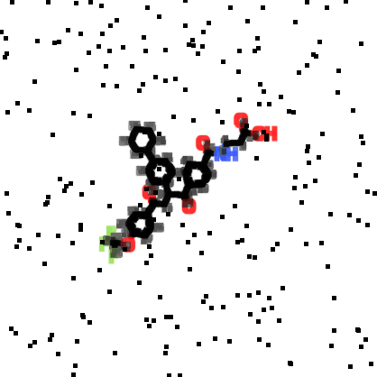 O=C(O)CCNC(=O)c1ccc(C(=O)C(CC(=O)c2ccc(OC(F)(F)F)cc2)c2ccc(C3CCCCC3)cc2)cc1